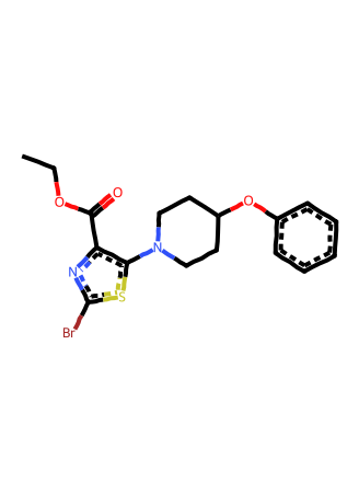 CCOC(=O)c1nc(Br)sc1N1CCC(Oc2ccccc2)CC1